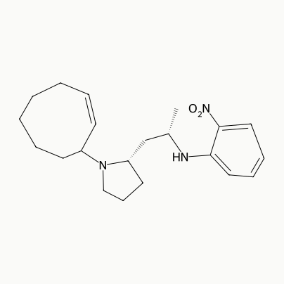 C[C@@H](C[C@@H]1CCCN1C1/C=C\CCCCC1)Nc1ccccc1[N+](=O)[O-]